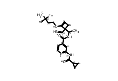 CC(NC(=O)c1ccnc(NC(=O)C2CC2)c1)C1(C=N)CC=C1OCCC(C)(F)I